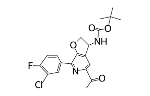 CC(=O)c1cc2c(c(-c3ccc(F)c(Cl)c3)n1)OCC2NC(=O)OC(C)(C)C